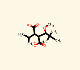 COC(C(C(=O)O)C(C(=O)O)C(C)C)C(C)(C)C